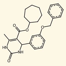 CC1=C(C(=O)OC2CCCCCC2)C(c2cccc(OCc3ccccc3)c2)NC(=O)N1